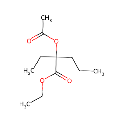 CCCC(CC)(OC(C)=O)C(=O)OCC